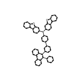 c1ccc(-c2c(-c3cccc(-c4ccc(N(c5ccc6c(c5)oc5ccccc56)c5ccc6c(c5)oc5ccccc56)cc4)c3)c3ccccc3c3ccccc23)cc1